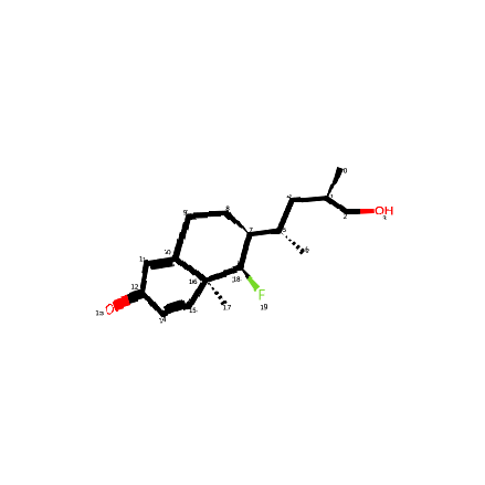 C[C@@H](CO)C[C@H](C)[C@@H]1CCC2=CC(=O)C=C[C@]2(C)[C@@H]1F